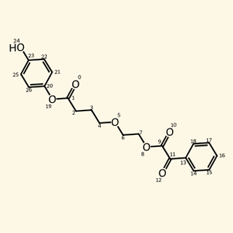 O=C(CCCOCCOC(=O)C(=O)c1ccccc1)Oc1ccc(O)cc1